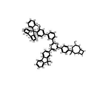 C[C@H]1CC2CCC2CC(C)(c2ccc(-c3nc(-c4cccc(-c5ccc6c(c5)Oc5ccccc5C65c6ccccc6-c6ccccc65)c4)nc(-c4ccc5c(c4)C(C)(C)c4ccccc4-5)n3)cc2)C1